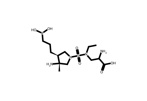 CCN(CC(N)C(=O)O)S(=O)(=O)N1C[C@H](CCCB(O)O)[C@@](C)(N)C1